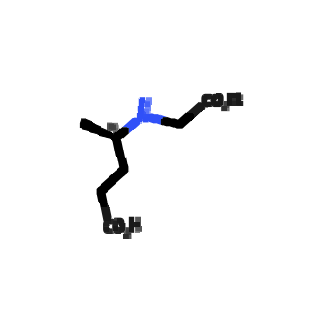 CCOC(=O)CN[C@H](C)CCC(=O)O